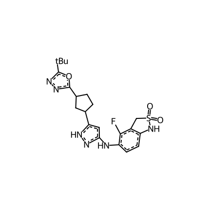 CC(C)(C)c1nnc(C2CCC(c3cc(Nc4ccc5c(c4F)CS(=O)(=O)N5)n[nH]3)C2)o1